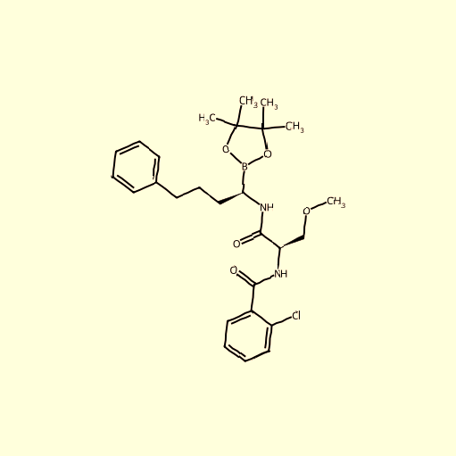 COC[C@@H](NC(=O)c1ccccc1Cl)C(=O)N[C@@H](CCCc1ccccc1)B1OC(C)(C)C(C)(C)O1